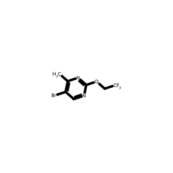 Cc1nc(OCC(F)(F)F)ncc1Br